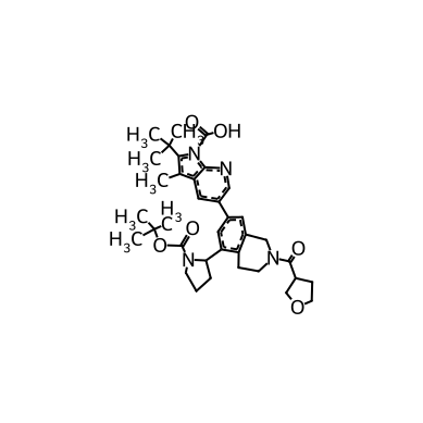 Cc1c(C(C)(C)C)n(C(=O)O)c2ncc(-c3cc4c(c(C5CCCN5C(=O)OC(C)(C)C)c3)CCN(C(=O)C3CCOC3)C4)cc12